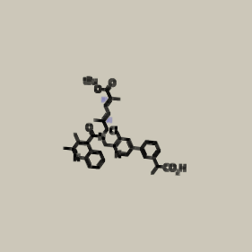 C/C(=C\C=C(/C)C(=O)OC(C)(C)C)CN(Cc1ncc(-c2cccc(C(C)C(=O)O)c2)cc1Cl)C(=O)c1c(C)c(C)nc2ccccc12